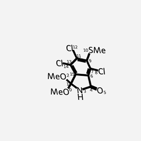 COC1(OC)NC(=O)c2c(Cl)c(SC)c(Cl)c(Cl)c21